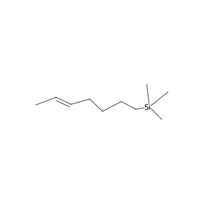 C/C=C/CCCC[Si](C)(C)C